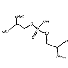 CCCCCCC(CCCC)COP(=O)(O)OCC(CCCC)CCCCCC